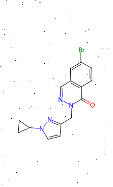 O=c1c2ccc(Br)cc2cnn1Cc1ccn(C2CC2)n1